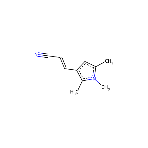 Cc1cc(/C=C/C#N)c(C)n1C